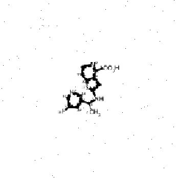 C[C@H](Nc1cc2c(C(=O)O)nccc2s1)c1cncc(F)c1